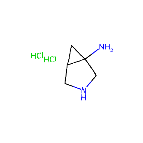 Cl.Cl.NC12CNCC1C2